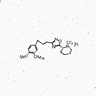 COc1ccc(CCCc2noc([C@@H]3CCCCN3C(=O)O)n2)cc1OC